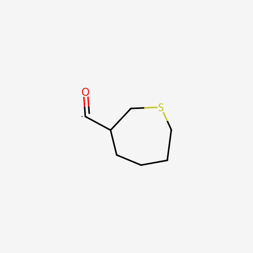 O=[C]C1CCCCSC1